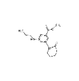 CCCNc1cc(C(=O)OC)cc(N2CCCCC2=O)c1